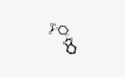 O=C(O)[C@@H]1CCC[C@H](c2nc3ccccc3s2)C1